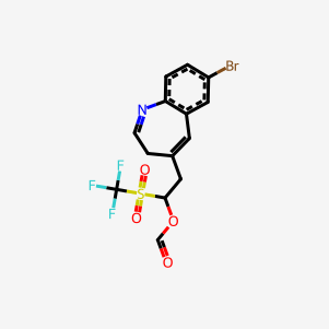 O=COC(CC1=Cc2cc(Br)ccc2N=CC1)S(=O)(=O)C(F)(F)F